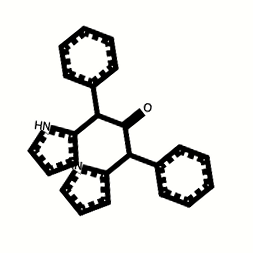 O=C(C(c1ccccc1)c1ccc[nH]1)C(c1ccccc1)c1ccc[nH]1